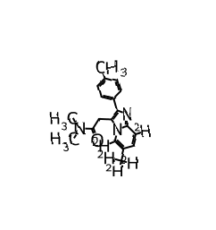 [2H]c1cc(C([2H])([2H])[2H])c([2H])n2c(CC(=O)N(C)C)c(-c3ccc(C)cc3)nc12